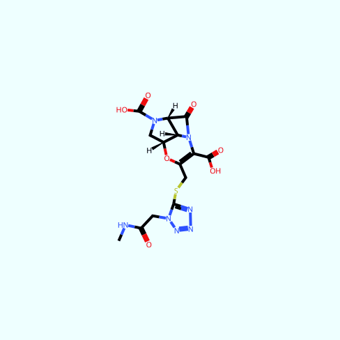 CNC(=O)Cn1nnnc1SCC1=C(C(=O)O)N2C(=O)[C@@H]3[C@H]2[C@@H](CN3C(=O)O)O1